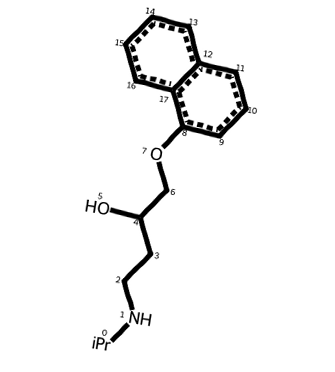 CC(C)NCCC(O)COc1cccc2ccccc12